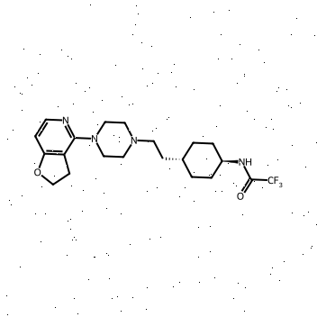 O=C(N[C@H]1CC[C@H](CCN2CCN(c3nccc4c3CCO4)CC2)CC1)C(F)(F)F